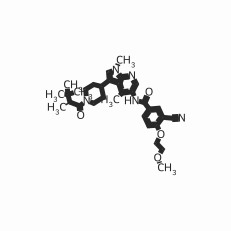 COCCOc1ccc(C(=O)Nc2cnc3c(c(C4CCN(C(=O)[C@H](C)C(C)(C)C)CC4)cn3C)c2C)cc1C#N